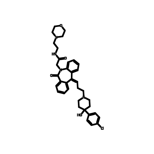 O=C(CN1C(=O)c2ccccc2C(=CCCN2CCC(O)(c3ccc(Cl)cc3)CC2)c2ccccc21)NCCN1CCOCC1